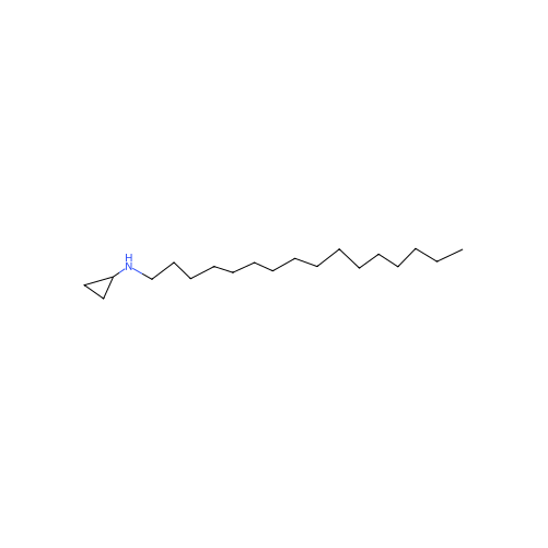 CCCCCCCCCCCCCCCCNC1CC1